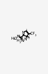 CC1(N)C(C(F)(F)F)=CN=C1/C(N)=N/O